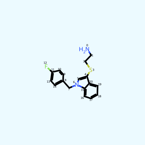 NCCSc1cn(Cc2ccc(F)cc2)c2ccccc12